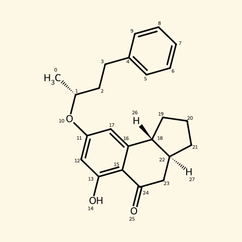 C[C@H](CCc1ccccc1)Oc1cc(O)c2c(c1)[C@@H]1CCC[C@H]1CC2=O